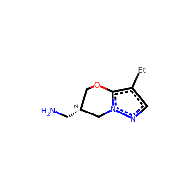 CCc1cnn2c1OC[C@@H](CN)C2